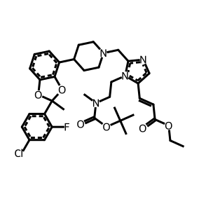 CCOC(=O)/C=C/c1cnc(CN2CCC(c3cccc4c3OC(C)(c3ccc(Cl)cc3F)O4)CC2)n1CCN(C)C(=O)OC(C)(C)C